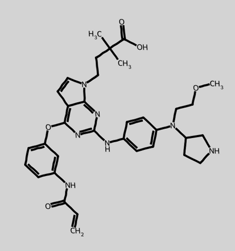 C=CC(=O)Nc1cccc(Oc2nc(Nc3ccc(N(CCOC)C4CCNC4)cc3)nc3c2ccn3CCC(C)(C)C(=O)O)c1